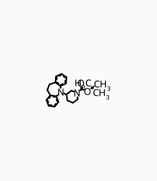 CC(C)(C)OC(=O)N1CCCC(N2c3ccccc3CCc3ccccc32)C1